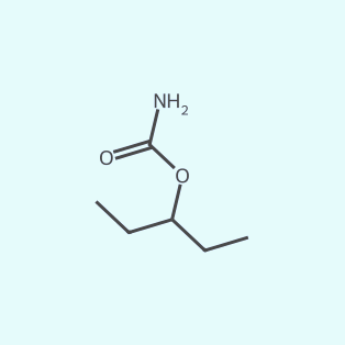 CCC(CC)OC(N)=O